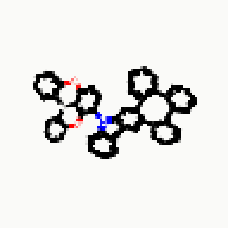 c1ccc2c(c1)Oc1ccc(-n3c4ccccc4c4cc5c(cc43)-c3ccccc3-c3ccccc3-c3ccccc3-5)c3c1B2c1ccccc1O3